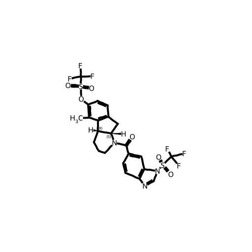 Cc1c(OS(=O)(=O)C(F)(F)F)ccc2c1[C@H]1CCCN(C(=O)c3ccc4ncn(S(=O)(=O)C(F)(F)F)c4c3)[C@H]1C2